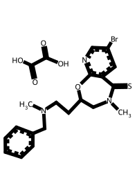 CN(CCC1CN(C)C(=S)c2cc(Br)cnc2O1)Cc1ccccc1.O=C(O)C(=O)O